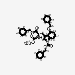 CC(C)(C)OC(=O)N[C@@H](Cc1cn(C(=O)OCc2ccccc2)c2cccc(OCc3ccccc3)c12)C(=O)OCc1ccccc1